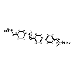 CCCCCC[C@@H](C)Oc1ccc(-c2ccc(OC(=O)[C@H]3CC[C@H](CC[C@@H](C)CC)CC3)cc2)cc1